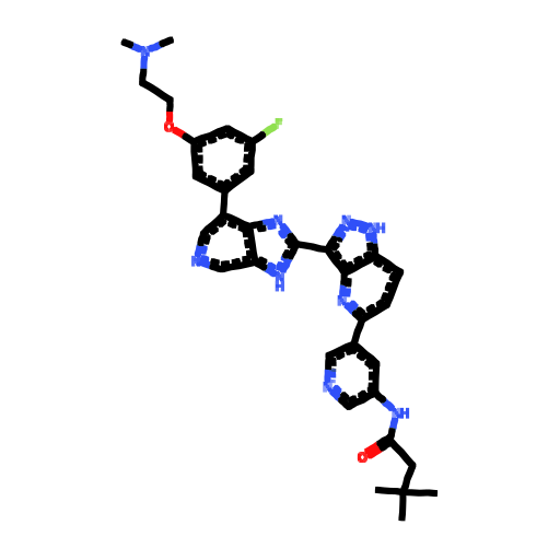 CN(C)CCOc1cc(F)cc(-c2cncc3[nH]c(-c4n[nH]c5ccc(-c6cncc(NC(=O)CC(C)(C)C)c6)nc45)nc23)c1